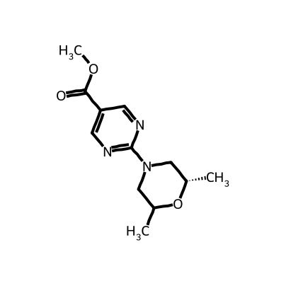 COC(=O)c1cnc(N2CC(C)O[C@@H](C)C2)nc1